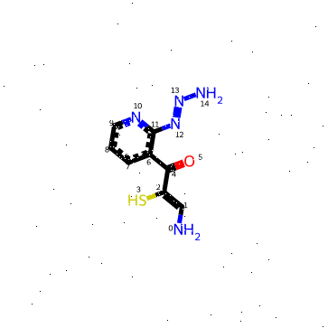 N/C=C(\S)C(=O)c1cccnc1N=NN